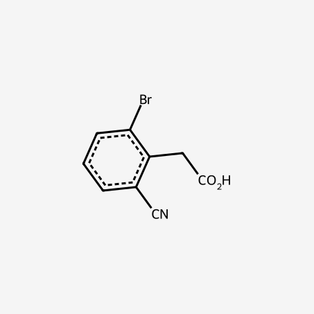 N#Cc1cccc(Br)c1CC(=O)O